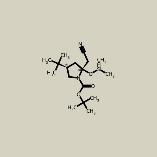 C[SiH](C)O[C@@]1(CC#N)C[C@H](C(C)(C)C)CN1C(=O)OC(C)(C)C